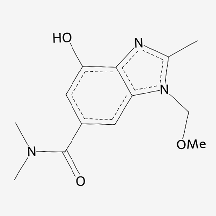 COCn1c(C)nc2c(O)cc(C(=O)N(C)C)cc21